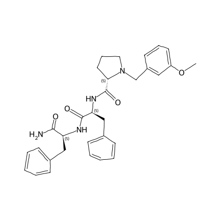 COc1cccc(CN2CCC[C@H]2C(=O)N[C@@H](Cc2ccccc2)C(=O)N[C@@H](Cc2ccccc2)C(N)=O)c1